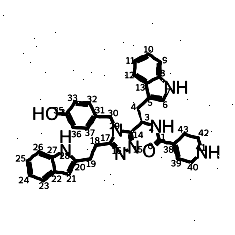 O=C(N[C@H](Cc1c[nH]c2ccccc12)c1nnc(CCc2cc3ccccc3[nH]2)n1Cc1ccc(O)cc1)C1=CCNCC1